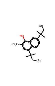 CC(C)(C)CC(C)(C)c1ccc2c(C(C)(C)CC(C)(C)C)cc(C(=O)O)c(O)c2c1